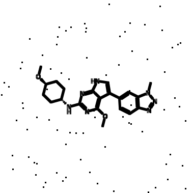 COc1nc(N[C@H]2CC[C@H](OC)CC2)nc2[nH]cc(-c3ccc4nnn(C)c4c3)c12